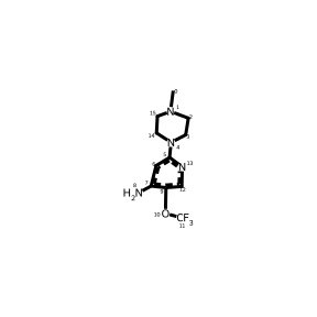 CN1CCN(c2cc(N)c(OC(F)(F)F)cn2)CC1